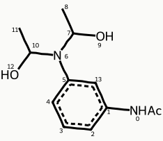 CC(=O)Nc1cccc(N(C(C)O)C(C)O)c1